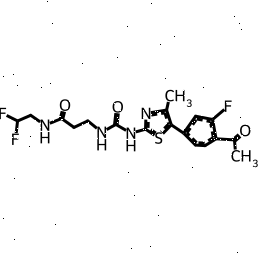 CC(=O)c1ccc(-c2sc(NC(=O)NCCC(=O)NCC(F)F)nc2C)cc1F